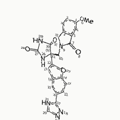 COc1ccc2c(c1)C(=O)N(C[C@@]1(c3cc4cc(-c5nnc[nH]5)ccc4o3)NC(=O)NC1=O)C2